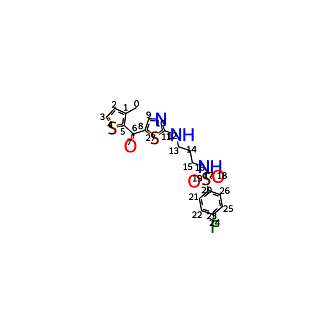 Cc1ccsc1C(=O)c1cnc(NCCCNS(=O)(=O)c2ccc(F)cc2)s1